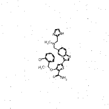 C[C@@H](Oc1cc(-c2cnc3ccc(CN(C)Cc4ncc[nH]4)cn23)sc1C(N)=O)c1ccccc1Cl